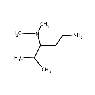 CC(C)C(CCN)N(C)C